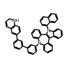 C1=Cc2cc(-c3cccc(-c4cccc(N5c6ccccc6-c6c(n(-c7cccc8ccccc78)c7ccccc67)-c6ccccc65)c4)c3)ccc2NC1